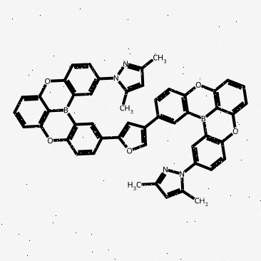 Cc1cc(C)n(-c2ccc3c(c2)B2c4cc(-c5coc(-c6ccc7c(c6)B6c8cc(-n9nc(C)cc9C)ccc8Oc8cccc(c86)O7)c5)ccc4Oc4cccc(c42)O3)n1